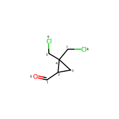 O=CC1CC1(CCl)CCl